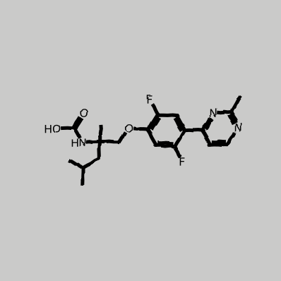 Cc1nccc(-c2cc(F)c(OCC(C)(CC(C)C)NC(=O)O)cc2F)n1